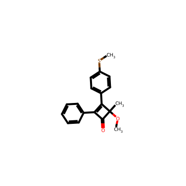 COC1(C)C(=O)C(c2ccccc2)=C1c1ccc(SC)cc1